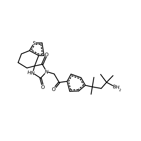 BC(C)(C)CC(C)(C)c1ccc(C(=O)CN2C(=O)NC3(CCCc4sccc43)C2=O)cc1